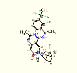 Cc1nc(N[C@H](C)c2cccc(C(C)(F)F)c2F)c2cn([C@H]3C[C@@H](F)C4CC3C4)c(=O)cc2n1